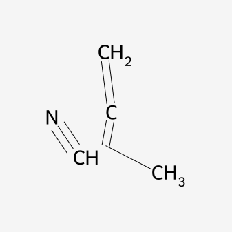 C#N.C=C=CC